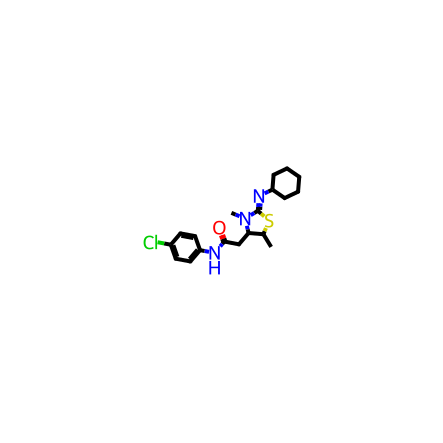 CC1S/C(=N\C2CCCCC2)N(C)C1CC(=O)Nc1ccc(Cl)cc1